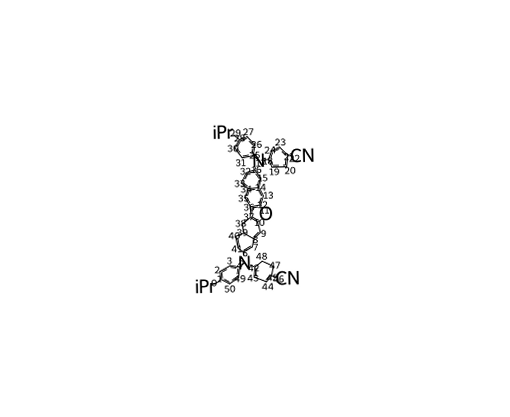 CC(C)c1ccc(N(C2=CC3=Cc4oc5cc6cc(N(c7ccc(C#N)cc7)c7ccc(C(C)C)cc7)ccc6cc5c4CC3C=C2)C2=CC=C(C#N)CC2)cc1